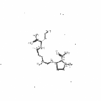 CC(C)CC[C@H](N[C@@H](C)CC[C@H](C)CO[C@@H]1CCN(C(C)C)[C@@H]1C(=O)C(C)C)C(=O)C(C)C